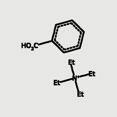 CC[N+](CC)(CC)CC.O=C(O)c1ccccc1